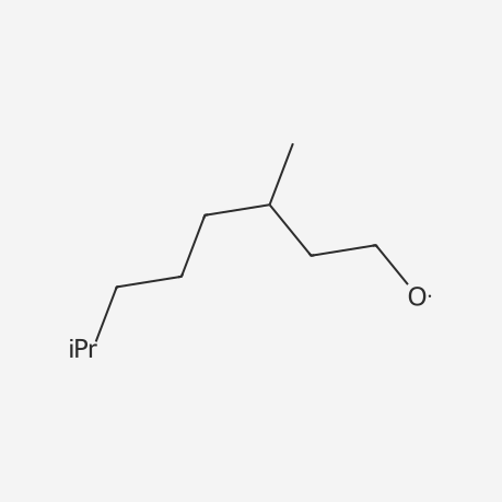 CC(C)CCCC(C)CC[O]